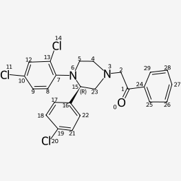 O=C(CN1CCN(c2ccc(Cl)cc2Cl)[C@H](c2ccc(Cl)cc2)C1)c1ccccc1